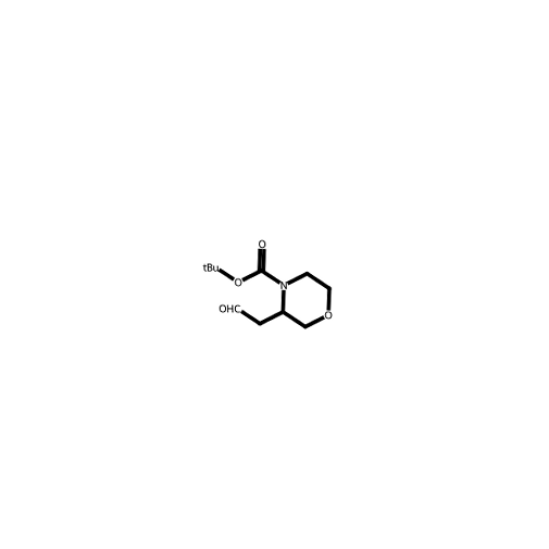 CC(C)(C)OC(=O)N1CCOCC1CC=O